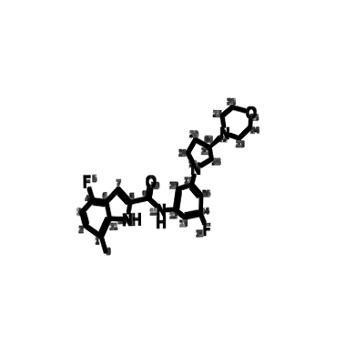 Cc1ccc(F)c2cc(C(=O)Nc3cc(F)cc(N4CC[C@@H](N5CCOCC5)C4)c3)[nH]c12